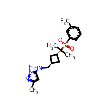 CC(C)([C@H]1C[C@H](CNc2cc(C(F)(F)F)n[nH]2)C1)S(=O)(=O)c1cccc(C(F)(F)F)c1